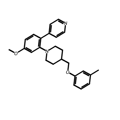 COc1ccc(-c2ccncc2)c(N2CCC(COc3cccc(C)c3)CC2)c1